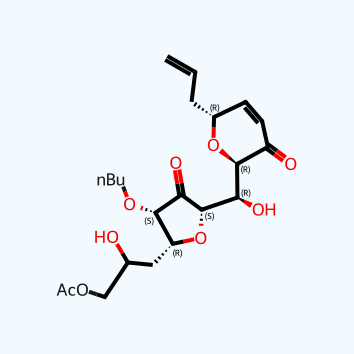 C=CC[C@@H]1C=CC(=O)[C@@H]([C@@H](O)[C@@H]2O[C@H](CC(O)COC(C)=O)[C@H](OCCCC)C2=O)O1